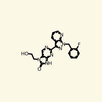 O=c1[nH]c2nc(-c3nn(Cc4ccccc4F)c4ncccc34)ncc2n1CCO